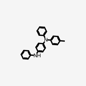 Cc1ccc(N(c2ccccc2)c2ccc(Nc3ccccc3)cc2)cc1